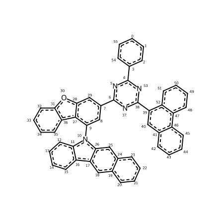 c1ccc(-c2nc(-c3cc(-n4c5ccccc5c5cc6ccccc6cc54)c4c(c3)oc3ccccc34)nc(-c3cc4ccccc4c4ccccc34)n2)cc1